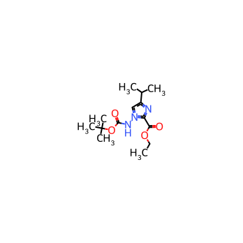 CCOC(=O)c1nc(C(C)C)cn1NC(=O)OC(C)(C)C